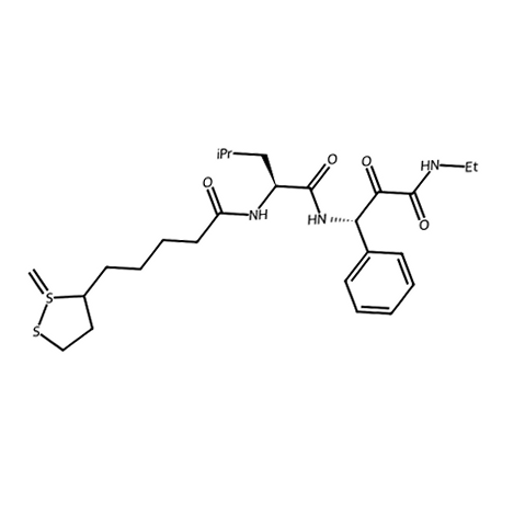 C=S1SCCC1CCCCC(=O)N[C@@H](CC(C)C)C(=O)N[C@H](C(=O)C(=O)NCC)c1ccccc1